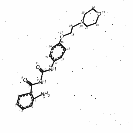 Nc1ccccc1C(=O)NC(=O)Nc1ccc(OCCN2CCOCC2)cc1